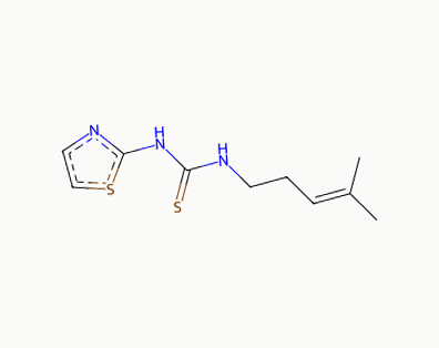 CC(C)=CCCNC(=S)Nc1nccs1